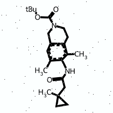 Cc1cc2c(c(C)c1NC(=O)CC1(C)CC1)CCN(C(=O)OC(C)(C)C)C2